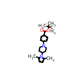 Cc1ccc(C)n1C1CCN(c2ccc(C(=O)OC(C)(C)C)cc2)CC1